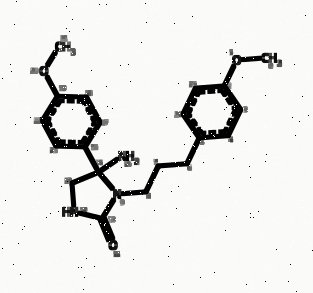 COc1ccc(CCCN2C(=O)NCC2(N)c2ccc(OC)cc2)cc1